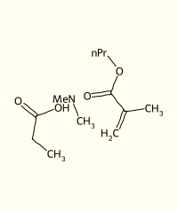 C=C(C)C(=O)OCCC.CCC(=O)O.CNC